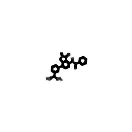 CN(C)c1cccc(-c2ccc(NC(=O)c3ccccc3)c3c2CNC3=O)c1